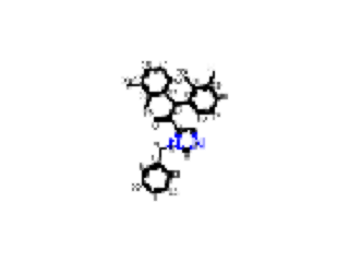 C=C(c1cncn1Cc1ccccc1)C(c1cccc(C)c1C)c1cccc(C)c1C